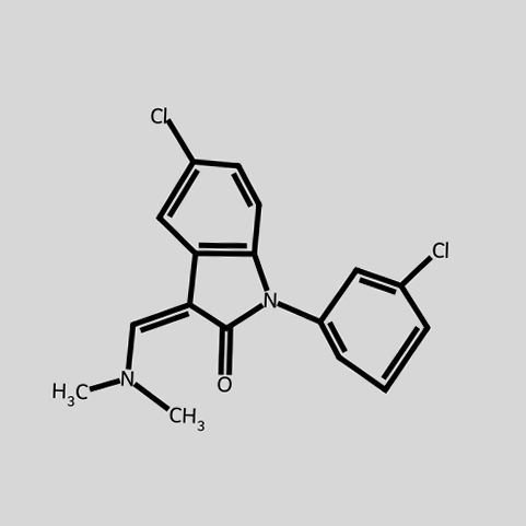 CN(C)C=C1C(=O)N(c2cccc(Cl)c2)c2ccc(Cl)cc21